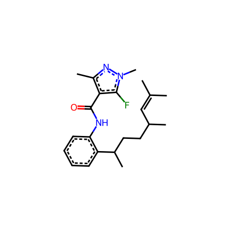 CC(C)=CC(C)CCC(C)c1ccccc1NC(=O)c1c(C)nn(C)c1F